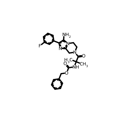 CC(C)(NC(=O)OCc1ccccc1)C(=O)N1CCn2c(nc(-c3cccc(F)c3)c2N)C1